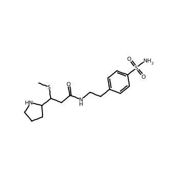 CSC(CC(=O)NCCc1ccc(S(N)(=O)=O)cc1)C1CCCN1